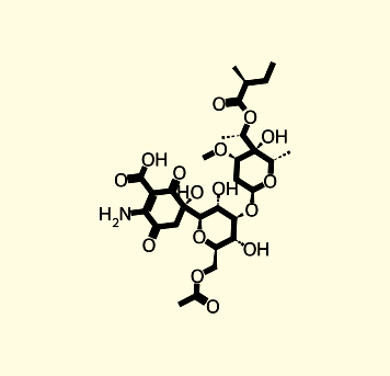 CC[C@H](C)C(=O)O[C@@H](C)[C@@]1(O)[C@H](C)O[C@@H](O[C@H]2[C@@H](O)[C@H]([C@@]3(O)CC(=O)C(N)=C(C(=O)O)C3=O)O[C@H](COC(C)=O)[C@H]2O)C[C@@H]1OC